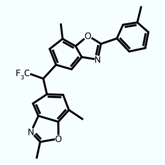 Cc1cccc(-c2nc3cc(C(c4cc(C)c5oc(C)nc5c4)C(F)(F)F)cc(C)c3o2)c1